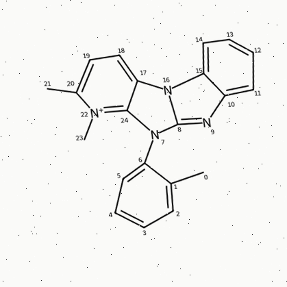 Cc1ccccc1-n1c2nc3ccccc3n2c2ccc(C)[n+](C)c21